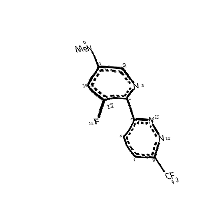 CNc1cnc(-c2ccc(C(F)(F)F)nn2)c(F)c1